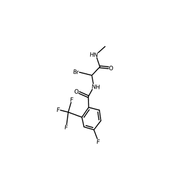 CNC(=O)C(Br)NC(=O)c1ccc(F)cc1C(F)(F)F